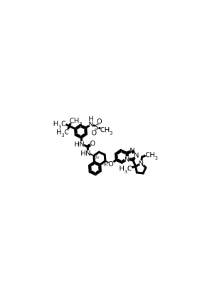 CCN1CCCC1(C)c1nnc2ccc(O[C@@H]3CC[C@H](NC(=O)Nc4cc(NS(C)(=O)=O)cc(C(C)(C)C)c4)c4ccccc43)cn12